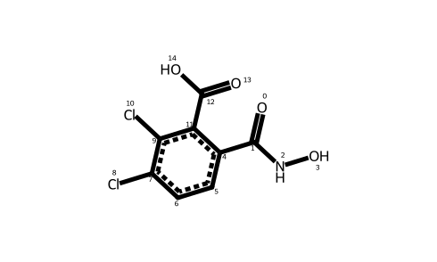 O=C(NO)c1ccc(Cl)c(Cl)c1C(=O)O